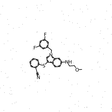 COCCNc1ccc2c(Sc3ccccc3C#N)cn(Cc3cc(F)cc(F)c3)c2c1